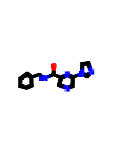 O=C(NCc1ccccc1)c1cncc(-n2ccnc2)n1